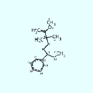 C=C(OC)C(C)(C)CCC(CC)c1ccccc1